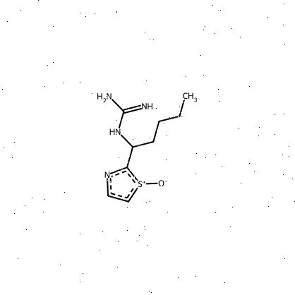 C[CH]CCC(NC(=N)N)c1ncc[s+]1[O-]